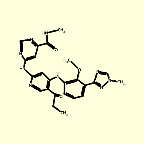 CCC(=O)c1cnc(Nc2cc(C(=O)NC)ncn2)cc1Nc1cccc(-c2ncn(C)n2)c1OC